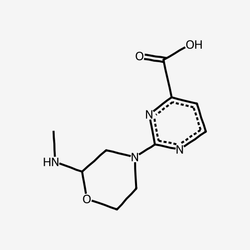 CNC1CN(c2nccc(C(=O)O)n2)CCO1